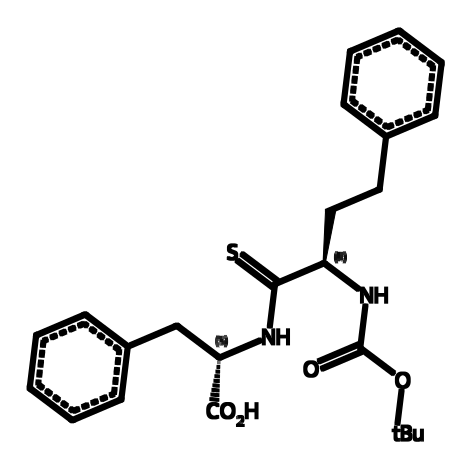 CC(C)(C)OC(=O)N[C@H](CCc1ccccc1)C(=S)N[C@@H](Cc1ccccc1)C(=O)O